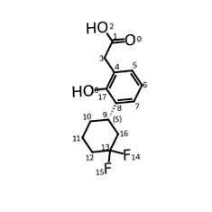 O=C(O)Cc1cccc([C@H]2CCCC(F)(F)C2)c1O